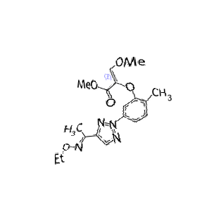 CCON=C(C)c1cnn(-c2ccc(C)c(O/C(=C\OC)C(=O)OC)c2)n1